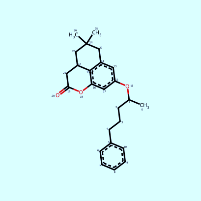 CC(CCCc1ccccc1)Oc1cc2c3c(c1)OC(=O)CC3CC(C)(C)C2